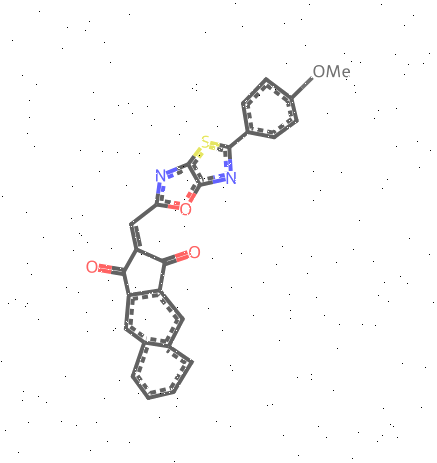 COc1ccc(-c2nc3oc(C=C4C(=O)c5cc6ccccc6cc5C4=O)nc3s2)cc1